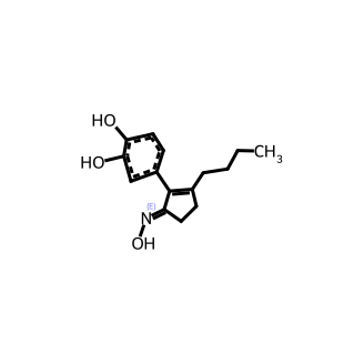 CCCCC1=C(c2ccc(O)c(O)c2)/C(=N/O)CC1